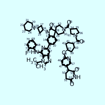 CC(C)n1cnc2cc(-c3ccc4c(c3)N([C@H]3C[C@@H](N5CCCCC5)C3)C(=O)C43CCN(C(=O)[C@@H]4CCN(C(=O)[C@H]5CC[C@H](Oc6ccc(C7CCC(=O)NC7=O)cn6)CC5)C4)CC3)nc(Nc3ccccc3F)c21